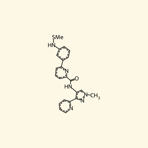 CSNc1cccc(-c2cccc(C(=O)Nc3cn(C)nc3-c3ccccn3)n2)c1